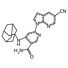 N#Cc1cnc2c(ccn2-c2cc(NC34CC5CC(CC(C5)C3)C4)c(C(N)=O)cn2)c1